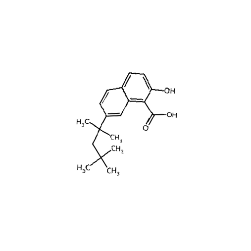 CC(C)(C)CC(C)(C)c1ccc2ccc(O)c(C(=O)O)c2c1